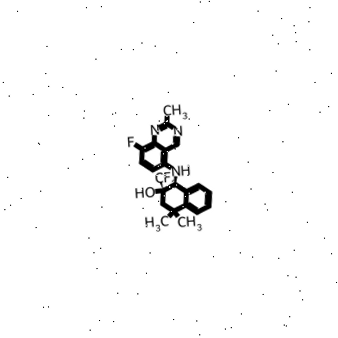 Cc1ncc2c(N[C@H]3c4ccccc4C(C)(C)C[C@]3(O)C(F)(F)F)ccc(F)c2n1